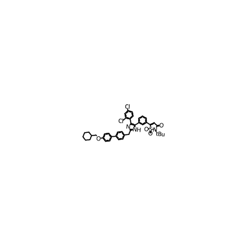 CC(C)(C)N1C(=O)C=C(c2cccc(-c3[nH]c(Cc4ccc(-c5ccc(OCC6CCCCC6)cc5)cc4)nc3-c3ccc(Cl)cc3Cl)c2)S1(=O)=O